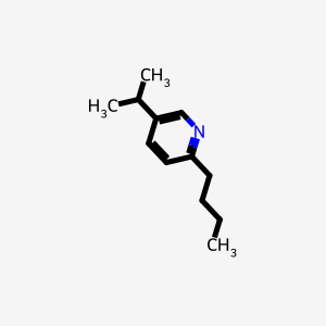 CCCCc1ccc(C(C)C)cn1